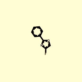 Fc1coc(-c2ccccc2)n1